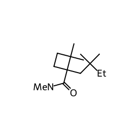 CCC(C)(C)CC1(C(=O)NC)CCC1(C)C